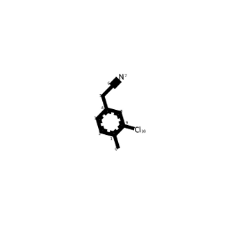 Cc1ccc(CC#N)cc1Cl